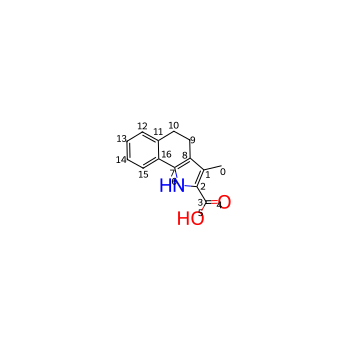 Cc1c(C(=O)O)[nH]c2c1CCc1ccccc1-2